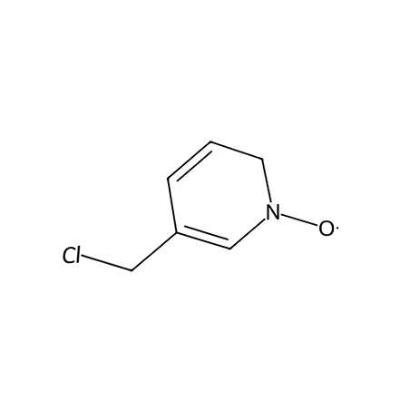 [O]N1C=C(CCl)C=CC1